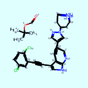 CC(C)(C)OC=O.Clc1ccc(Cl)c(C#Cc2c[nH]c3ncc(-c4cnn(C5CCNCC5)c4)cc23)c1